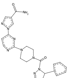 NC(=O)c1cnn(-c2ccnc(N3CCN(C(=O)N4N=CCC4c4ccccc4)CC3)n2)c1